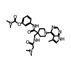 Cc1c[nH]c2ncnc(N3CCC(CNC(=O)CN(C)C)(C(=O)Nc4cccc(OC(=O)N(C)C)c4)CC3)c12